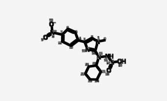 Cn1cc(-c2ccc([N+](=O)[O-])cc2)nc1N(NS(=O)O)C1CCCCC1